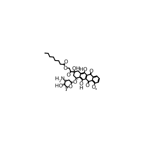 CCCCCCCC(=O)OCC(=O)[C@]1(O)Cc2c(O)c3c(c(O)c2[C@@H](O[C@H]2C[C@H](N)[C@H](O)[C@H](C)O2)C1)C(=O)c1c(OC)cccc1C3=O